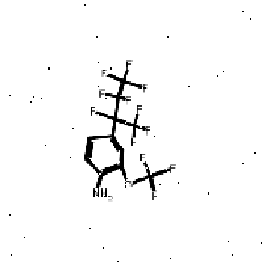 Nc1ccc(C(F)(C(F)(F)F)C(F)(F)C(F)(F)F)cc1OC(F)(F)F